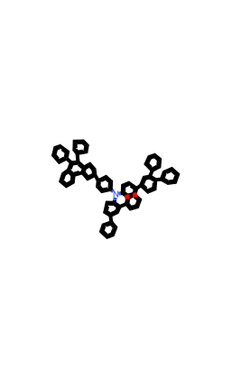 c1ccc(-c2ccc(N(c3ccc(-c4ccc(-c5ccccc5)c(-c5ccccc5)c4)cc3)c3ccc(-c4ccc5c(-c6ccccc6)c(-c6ccccc6)c6ccccc6c5c4)cc3)c(-c3ccccc3)c2)cc1